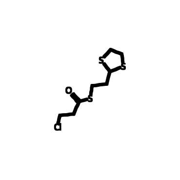 O=C(CCCl)SCCC1SCCS1